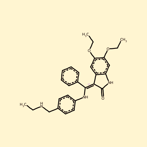 CCNCc1ccc(N/C(=C2\C(=O)Nc3cc(OCC)c(OCC)cc32)c2ccccc2)cc1